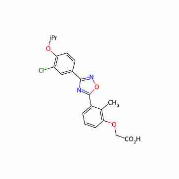 Cc1c(OCC(=O)O)cccc1-c1nc(-c2ccc(OC(C)C)c(Cl)c2)no1